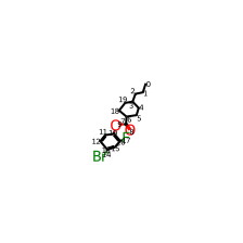 CCCC1CCC(C(=O)Oc2ccc(Br)cc2F)CC1